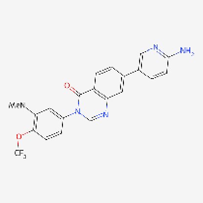 CNc1cc(-n2cnc3cc(-c4ccc(N)nc4)ccc3c2=O)ccc1OC(F)(F)F